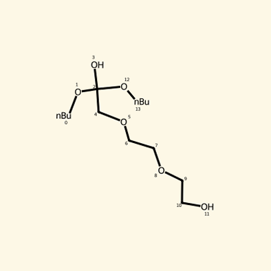 CCCCOC(O)(COCCOCCO)OCCCC